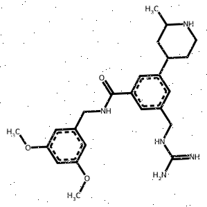 COc1cc(CNC(=O)c2cc(CNC(=N)N)cc(C3CCNC(C)C3)c2)cc(OC)c1